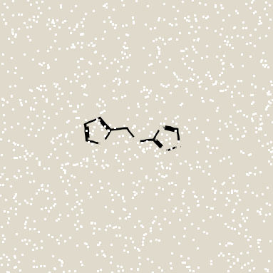 c1coc(CSc2nc[nH]n2)c1